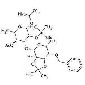 CC(=O)O[C@H]1C(C)O[C@H](OC(=N)C(Cl)(Cl)Cl)C(O[Si](C)(C)C(C)(C)C)[C@@H]1O[C@@H]1OC(C)[C@H](OCc2ccccc2)C2OC(C)(C)O[C@@H]21